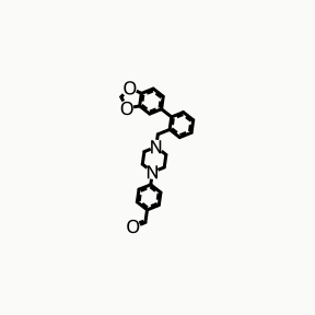 O=Cc1ccc(N2CCN(Cc3ccccc3-c3ccc4c(c3)OCO4)CC2)cc1